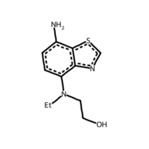 CCN(CCO)c1ccc(N)c2scnc12